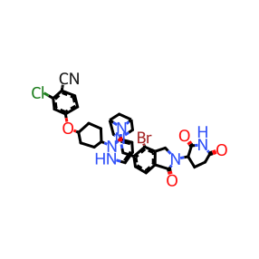 N#Cc1ccc(OC2CCC(N3NC=CC=C3N3C4CC3CN(Cc3ccc5c(c3Br)CN(C3CCC(=O)NC3=O)C5=O)C4)CC2)cc1Cl